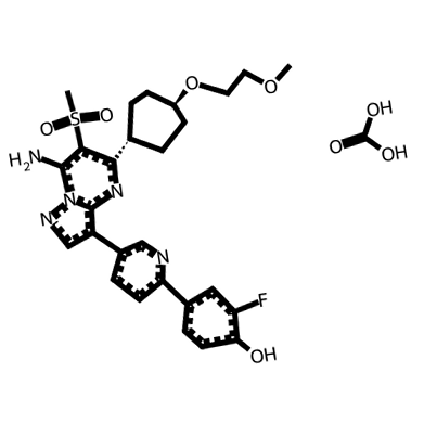 COCCO[C@H]1CC[C@H](c2nc3c(-c4ccc(-c5ccc(O)c(F)c5)nc4)cnn3c(N)c2S(C)(=O)=O)CC1.O=C(O)O